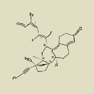 C=C/C(=C\C(F)=C(/F)[C@H]1C[C@@]2(C)[C@@H](CC[C@@]2(O)C#CC(C)C)[C@@H]2CCC3=CC(=O)CCC3=C21)CC